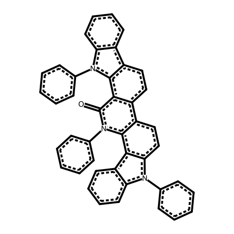 O=c1c2c(ccc3c4ccccc4n(-c4ccccc4)c32)c2ccc3c(c4ccccc4n3-c3ccccc3)c2n1-c1ccccc1